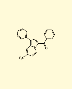 O=C(c1ccccc1)c1cc(-c2ccccc2)c2cc(C(F)(F)F)ccn12